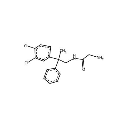 CC(CNC(=O)CN)(c1ccccc1)c1ccc(Cl)c(Cl)c1